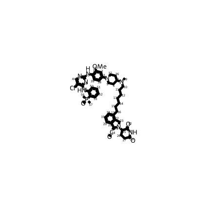 COc1cc(N2CCC(N(C)CCCCCCCc3cccc4c3CN(C3CCC(=O)NC3=O)C4=C=O)CC2)ccc1Nc1ncc(Cl)c(Nc2ccccc2P(C)(C)=O)n1